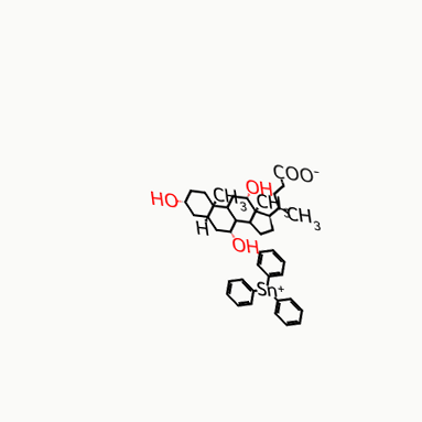 C[C@H](CCC(=O)[O-])[C@H]1CCC2C3C(C[C@H](O)[C@@]21C)[C@@]1(C)CC[C@@H](O)C[C@H]1C[C@H]3O.c1cc[c]([Sn+]([c]2ccccc2)[c]2ccccc2)cc1